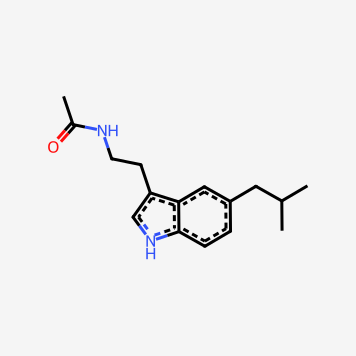 CC(=O)NCCc1c[nH]c2ccc(CC(C)C)cc12